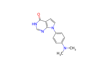 CN(C)c1ccc(-n2ccc3c(=O)[nH]cnc32)cc1